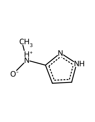 C[NH+]([O-])c1cc[nH]n1